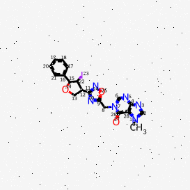 Cn1cnc2ncn(Cc3nc(C4COC(c5ccccc5)C4I)no3)c(=O)c21